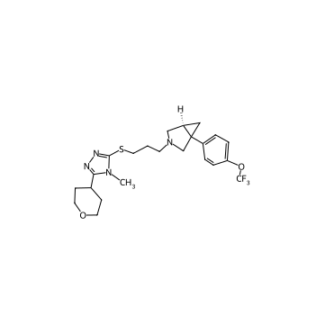 Cn1c(SCCCN2C[C@H]3CC3(c3ccc(OC(F)(F)F)cc3)C2)nnc1C1CCOCC1